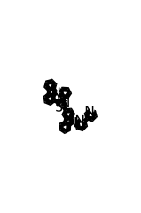 c1ccc(-n2c3ccccc3c3cccc(-c4nnc(-c5ccc6c(c5)c5ccccc5n6-c5cccc(-c6cccnc6)n5)s4)c32)cc1